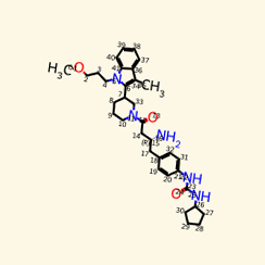 COCCCn1c(C2CCCN(C(=O)C[C@H](N)Cc3ccc(NC(=O)NC4CCCC4)cc3)C2)c(C)c2ccccc21